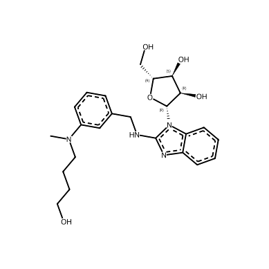 CN(CCCCO)c1cccc(CNc2nc3ccccc3n2[C@@H]2O[C@H](CO)[C@@H](O)[C@H]2O)c1